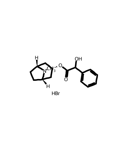 Br.CN1[C@@H]2CC[C@H]1C[C@@H](OC(=O)C(O)c1ccccc1)C2